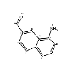 Nc1cccc2ccc([C]=O)cc12